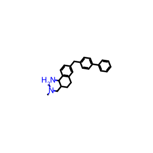 CN(C)CC1CCc2cc(Cc3ccc(-c4ccccc4)cc3)ccc2C1N